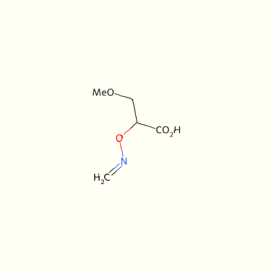 C=NOC(COC)C(=O)O